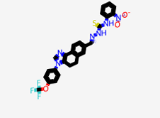 O=[N+]([O-])c1ccccc1NC(=S)N/N=C/c1ccc2c(c1)CCc1c-2ncn1-c1ccc(OC(F)(F)F)cc1